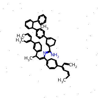 C=C/C(=C\C=C/C)C1=CCC(C(=C/C(C)C2=CCCC(C(/C=C\C)=C/C)=C2)/N=C(\N)C2=CC(c3ccc(C4C=CC=CC4c4ccccc4)c(C)c3)=CCC2)=CC=C1